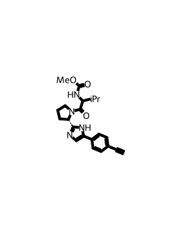 C#Cc1ccc(-c2cnc([C@@H]3CCCN3C(=O)C(NC(=O)OC)C(C)C)[nH]2)cc1